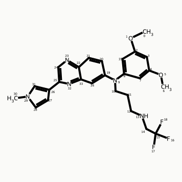 COc1cc(OC)cc(N(CCCNCC(F)(F)F)c2ccc3ncc(-c4ccn(C)c4)nc3c2)c1